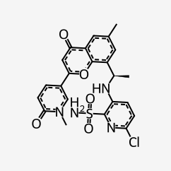 Cc1cc([C@@H](C)Nc2ccc(Cl)nc2S(N)(=O)=O)c2oc(-c3ccc(=O)n(C)c3)cc(=O)c2c1